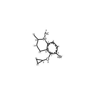 CC(=O)N1c2ccc(Br)c(OC3CC3)c2CCC1C